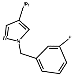 [CH2]C(C)c1cnn(Cc2cccc(F)c2)c1